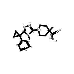 Cn1c(N2CCC(C)(C(N)=O)CC2)nnc1C1(c2ccccc2)CC1